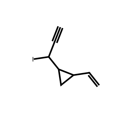 C#CC(I)C1CC1C=C